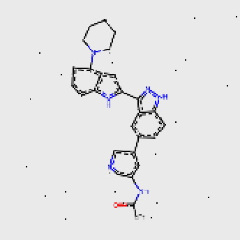 CCCC(=O)Nc1cncc(-c2ccc3[nH]nc(-c4cc5c(N6CCCCC6)cccc5[nH]4)c3c2)c1